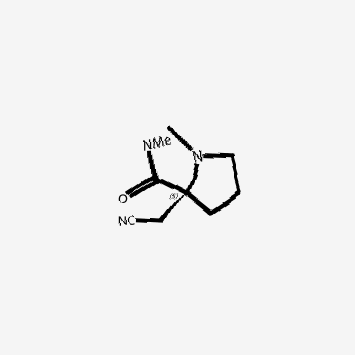 CNC(=O)[C@@]1(CC#N)CCCN1C